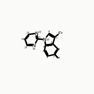 Cc1ccc2c(c1)c(F)cn2-c1ncccn1